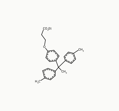 CCOC(=O)CCOc1ccc(C(C)(c2ccc(C)cc2)c2ccc(C)cc2)cc1